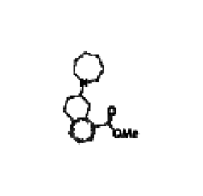 COC(=O)c1cccc2c1CC(N1CCCCCC1)CC2